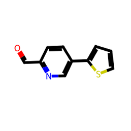 O=Cc1ccc(-c2cccs2)cn1